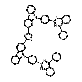 c1ccc(-c2nc(-c3ccc(-n4c5ccccc5c5ccc(-c6nnc(-c7ccc8c9ccccc9n(-c9ccc(-c%10nc(-c%11ccccc%11)c%11ccccc%11n%10)cc9)c8c7)s6)cc54)cc3)nc3ccccc23)cc1